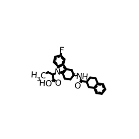 CCC(C(=O)O)n1c2c(c3cc(F)ccc31)C[C@@H](NC(=O)C1CCc3ccccc3C1)CC2